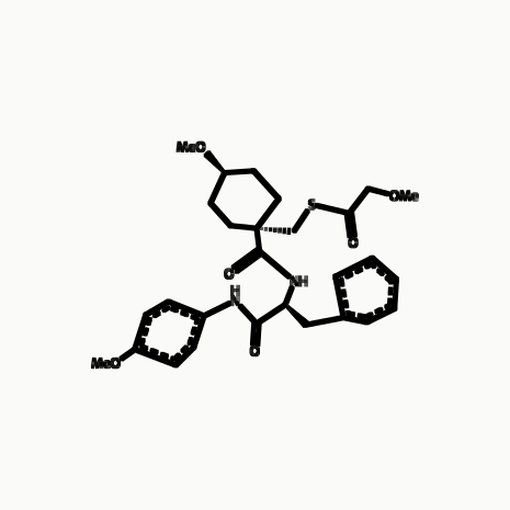 COCC(=O)SC[C@]1(C(=O)N[C@@H](Cc2ccccc2)C(=O)Nc2ccc(OC)cc2)CC[C@@H](OC)CC1